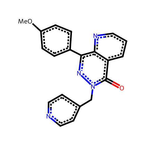 COc1ccc(-c2nn(Cc3ccncc3)c(=O)c3cccnc23)cc1